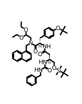 CCOC(CN(Cc1cccc2ccccc12)C(=O)[C@H](Cc1ccc(OC(C)(C)C)cc1)NC(=O)C[C@@H](CO[Si](C)(C)C(C)(C)C)NC(=O)NCc1ccccc1)OCC